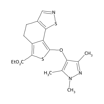 CCOC(=O)c1sc(Oc2c(C)nn(C)c2C)c2c1CCc1cnsc1-2